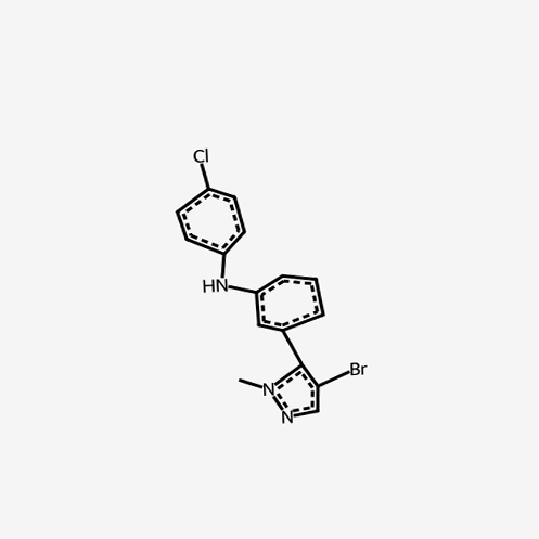 Cn1ncc(Br)c1-c1cccc(Nc2ccc(Cl)cc2)c1